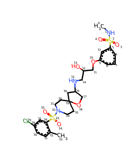 CNS(=O)(=O)c1cccc(OCC(O)CNC2COC3(CCN(S(=O)(=O)c4cc(Cl)ccc4C)CC3)C2)c1